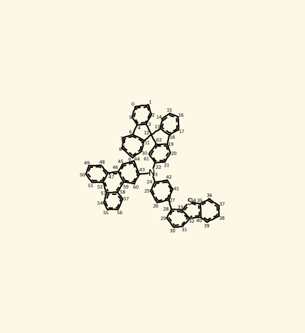 c1ccc2c(c1)-c1ccccc1C21c2ccccc2-c2ccc(N(c3ccc(-c4cccc5c4sc4ccccc45)cc3)c3ccc4c5ccccc5c5ccccc5c4c3)cc21